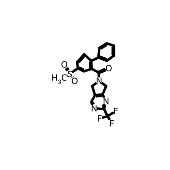 CS(=O)(=O)c1ccc(-c2ccccc2)c(C(=O)N2Cc3cnc(C(F)(F)F)nc3C2)c1